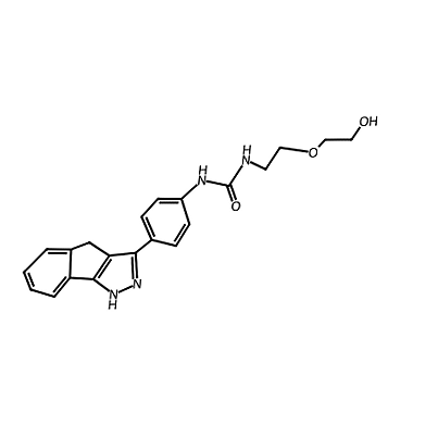 O=C(NCCOCCO)Nc1ccc(-c2n[nH]c3c2Cc2ccccc2-3)cc1